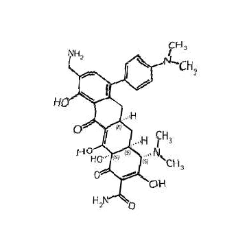 CN(C)c1ccc(-c2cc(CN)c(O)c3c2C[C@H]2C[C@H]4[C@H](N(C)C)C(O)=C(C(N)=O)C(=O)[C@@]4(O)C(O)=C2C3=O)cc1